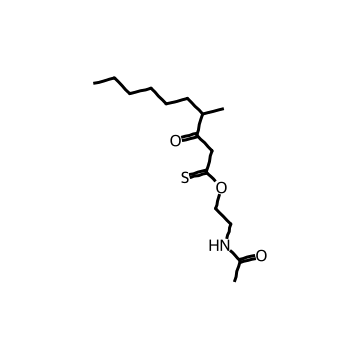 CCCCCCC(C)C(=O)CC(=S)OCCNC(C)=O